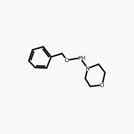 c1ccc(COPN2CCOCC2)cc1